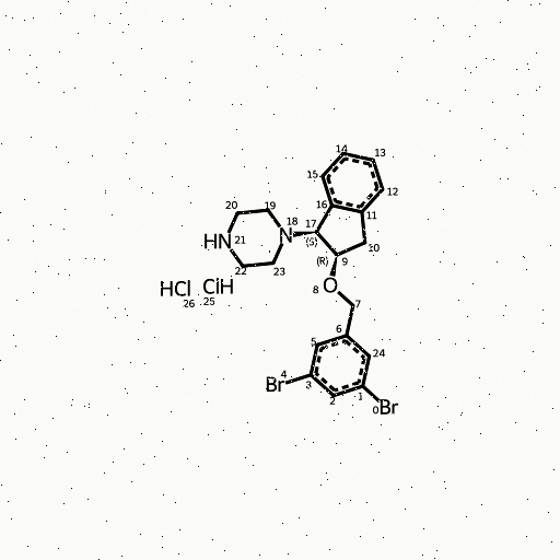 Brc1cc(Br)cc(CO[C@@H]2Cc3ccccc3[C@@H]2N2CCNCC2)c1.Cl.Cl